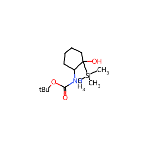 CC(C)(C)OC(=O)NC1CCCCC1(O)[Si](C)(C)C